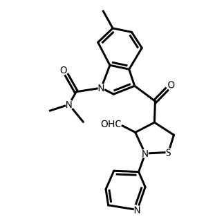 Cc1ccc2c(C(=O)C3CSN(c4cccnc4)C3C=O)cn(C(=O)N(C)C)c2c1